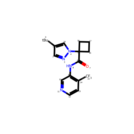 CC(C)(C)c1cnn(C2(C(=O)Nc3cnccc3C(F)(F)F)CCC2)c1